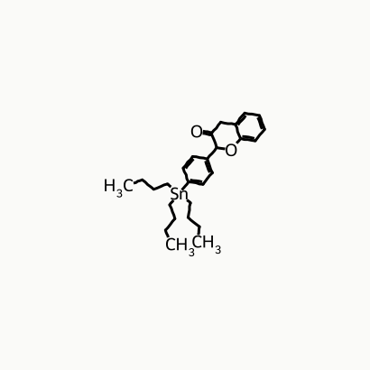 CCC[CH2][Sn]([CH2]CCC)([CH2]CCC)[c]1ccc(C2Oc3ccccc3CC2=O)cc1